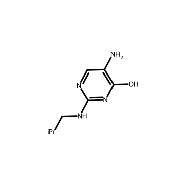 CC(C)CNc1ncc(N)c(O)n1